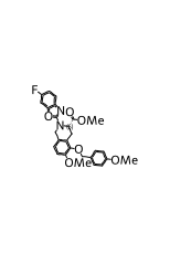 COC(=O)[C@@H]1Cc2c(ccc(OC)c2OCc2ccc(OC)cc2)CN1c1nc2ccc(F)cc2o1